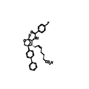 O=C(O)CCC/C=C\C[C@H]1[C@H](NC(=O)c2ccc(F)cc2)[C@@H]2C[C@@]1(c1ccc(-c3ccccc3)cc1)CO2